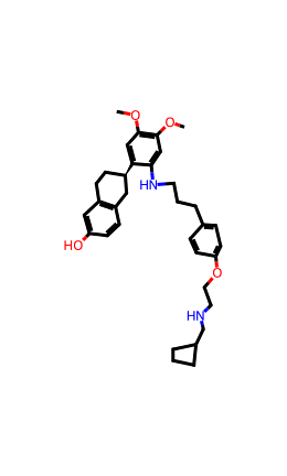 COc1cc(NCCCc2ccc(OCCNCC3CCC3)cc2)c([C@@H]2CCc3cc(O)ccc3C2)cc1OC